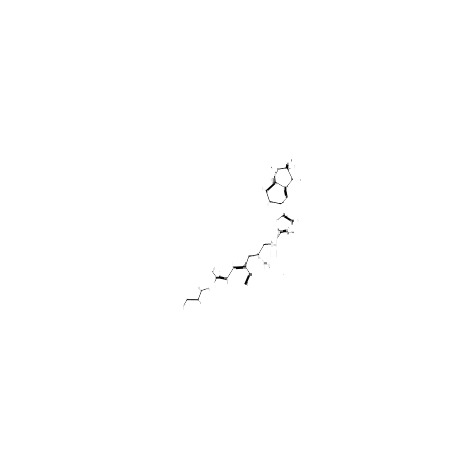 C=C/C(=C\C=C(/C)OCCCO)C[C@H](N)CNc1ncc([C@H]2C=C3CC(=O)NC3=CC2)s1